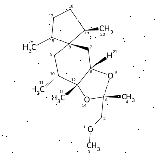 COC[C@@]1(C)O[C@H]2C[C@@]3(C[C@@H](C)[C@@]2(C)O1)C(C)CC[C@H]3C